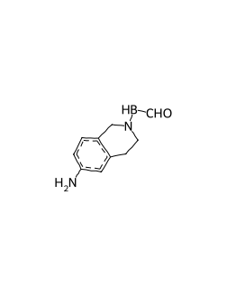 Nc1ccc2c(c1)CCN(BC=O)C2